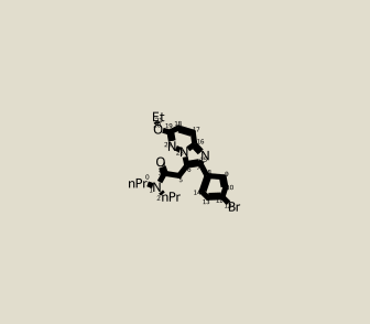 CCCN(CCC)C(=O)Cc1c(-c2ccc(Br)cc2)nc2ccc(OCC)nn12